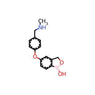 CNCc1ccc(Oc2ccc3c(c2)COB3O)cc1